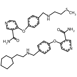 CSCCNCc1ccc(Oc2ccncc2C(N)=O)cc1.NC(=O)c1cnccc1Oc1ccc(CNCCC2CCCCC2)cc1